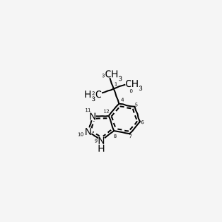 CC(C)(C)c1cccc2[nH]nnc12